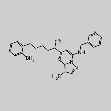 Bc1ccccc1CCCCC(CCC)c1cc(NCc2cccnc2)n2ncc(B)c2n1